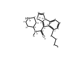 CCCCc1cccc2c1c(C(=O)N(C)C1CCNCC1)c1sccn12